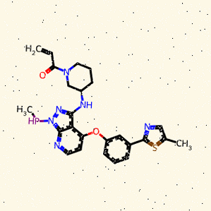 C=CC(=O)N1CCC[C@@H](Nc2nn(PC)c3nccc(Oc4cccc(-c5ncc(C)s5)c4)c23)C1